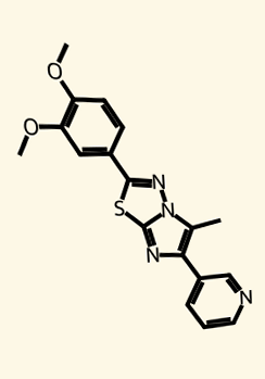 COc1ccc(-c2nn3c(C)c(-c4cccnc4)nc3s2)cc1OC